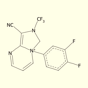 N#CC1=C2N=CC=C[N+]2(c2ccc(F)c(F)c2)CN1C(F)(F)F